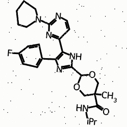 CC(C)NC(=O)C1(C)COC(c2nc(-c3ccc(F)cc3)c(-c3ccnc(N4CCCCC4)n3)[nH]2)OC1